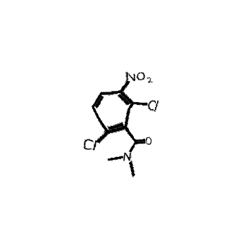 CN(C)C(=O)c1c(Cl)ccc([N+](=O)[O-])c1Cl